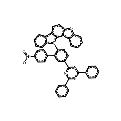 O=[N+]([O-])c1ccc(-c2cc(-c3nc(-c4ccccc4)nc(-c4ccccc4)n3)ccc2-n2c3ccccc3c3ccc4oc5ccccc5c4c32)cc1